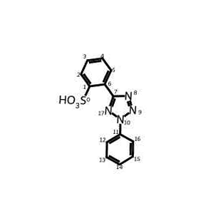 O=S(=O)(O)c1ccccc1-c1nnn(-c2ccccc2)n1